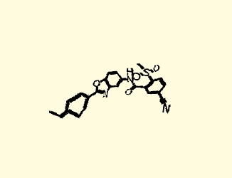 CCc1ccc(-c2nc3cc(NC(=O)c4cc(C#N)ccc4S(C)(=O)=O)ccc3o2)cc1